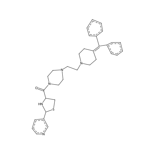 O=C(C1CSC(c2cccnc2)N1)N1CCN(CCN2CCC(=C(c3ccccc3)c3ccccc3)CC2)CC1